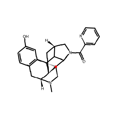 CN1CC[C@@]23c4cc(O)ccc4C[C@@H]1[C@]21CCC2C3[C@@H](CN2C(=O)c2ccccn2)C1